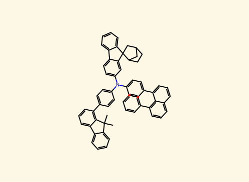 CC1(C)c2ccccc2-c2cccc(-c3ccc(N(c4ccc(-c5cccc6cccc(-c7ccccc7)c56)cc4)c4ccc5c(c4)C4(CC6CCC4C6)c4ccccc4-5)cc3)c21